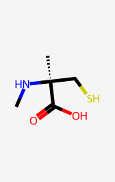 CN[C@@](C)(CS)C(=O)O